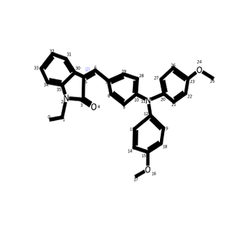 CCN1C(=O)/C(=C\c2ccc(N(c3ccc(OC)cc3)c3ccc(OC)cc3)cc2)c2ccccc21